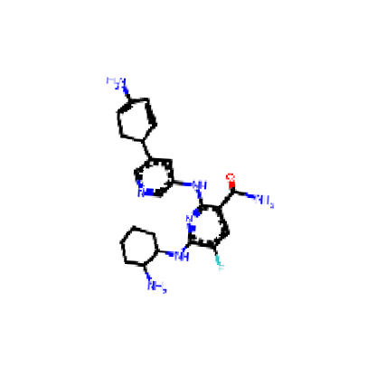 NC(=O)c1cc(F)c(N[C@@H]2CCCC[C@@H]2N)nc1Nc1cncc(C2C=CC(N)=CC2)c1